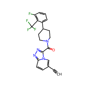 C#Cc1ccc2nnc(C(=O)N3CCC(c4cccc(F)c4C(F)(F)F)CC3)n2c1